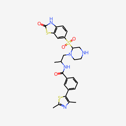 Cc1nc(C)c(-c2cccc(C(=O)NC(C)CN3CCNCC3S(=O)(=O)c3ccc4[nH]c(=O)sc4c3)c2)s1